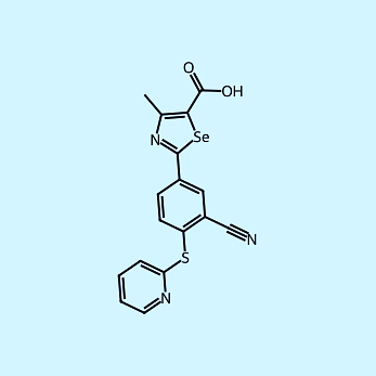 Cc1nc(-c2ccc(Sc3ccccn3)c(C#N)c2)[se]c1C(=O)O